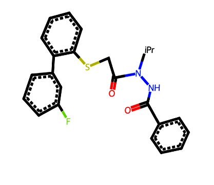 CC(C)N(NC(=O)c1ccccc1)C(=O)CSc1ccccc1-c1cccc(F)c1